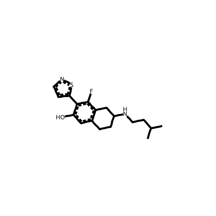 CC(C)CCNC1CCc2cc(O)c(-c3ccns3)c(F)c2C1